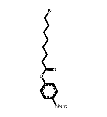 CCCCCc1ccc(OC(=O)CCCCCCCBr)cc1